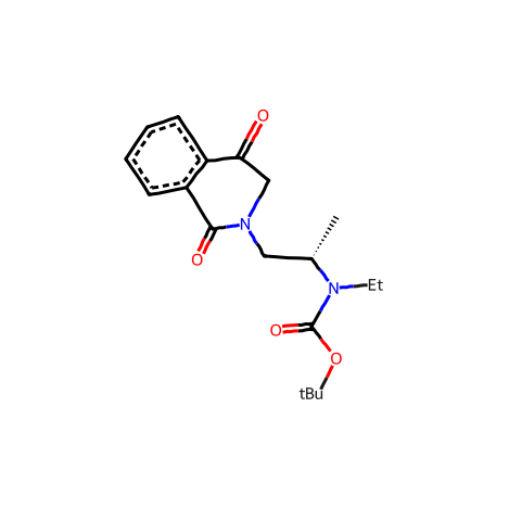 CCN(C(=O)OC(C)(C)C)[C@@H](C)CN1CC(=O)c2ccccc2C1=O